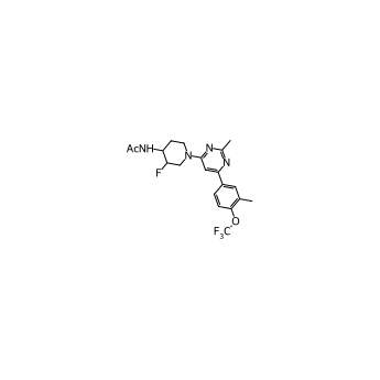 CC(=O)NC1CCN(c2cc(-c3ccc(OC(F)(F)F)c(C)c3)nc(C)n2)CC1F